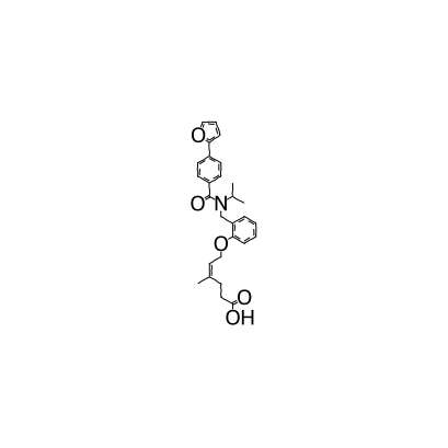 CC(=CCOc1ccccc1CN(C(=O)c1ccc(-c2ccco2)cc1)C(C)C)CCC(=O)O